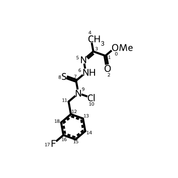 COC(=O)C(C)=NNC(=S)N(Cl)Cc1cccc(F)c1